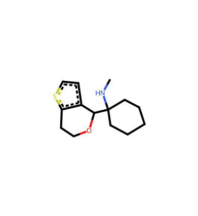 CNC1(C2OCCc3sccc32)CCCCC1